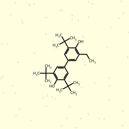 CCc1cc(-c2cc(C(C)(C)C)c(O)c(C(C)(C)C)c2)cc(C(C)(C)C)c1O